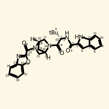 CC(C)(C)[C@H](NC(=O)c1cc2ccccc2[nH]1)C(=O)N1C[C@@H]2C[C@H]1CN2C(=O)c1nc2ccccc2o1